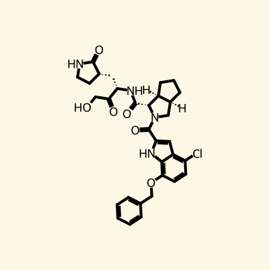 O=C1NCC[C@H]1C[C@H](NC(=O)[C@@H]1[C@H]2CCC[C@H]2CN1C(=O)c1cc2c(Cl)ccc(OCc3ccccc3)c2[nH]1)C(=O)CO